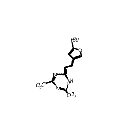 CC(C)(C)c1cc(CC=C2N=C(C(Cl)(Cl)Cl)N=C(C(Cl)(Cl)Cl)N2)co1